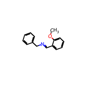 COc1ccccc1C=NCc1ccccc1